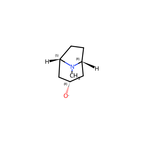 CN1[C@@H]2CC[C@H]1C[C@@H]([O])C2